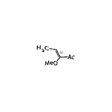 C/C=C(\OC)C(C)=O